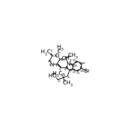 C=C/C=N\C(=C\c1c(CC(C)(C)CO)c2cc(Br)ccc2n1CC)[C@H](C)OC